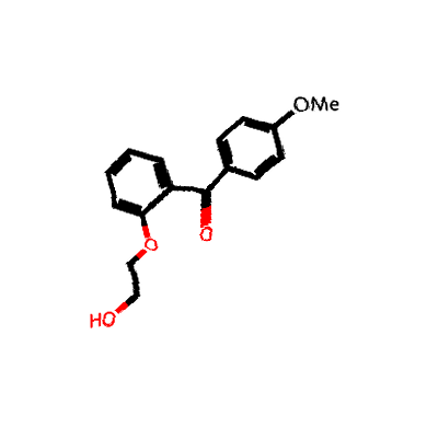 COc1ccc(C(=O)c2ccccc2OCCO)cc1